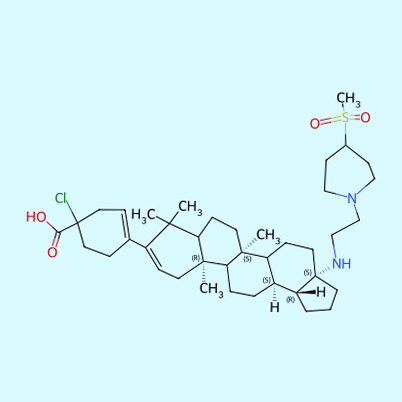 CC1(C)C(C2=CCC(Cl)(C(=O)O)CC2)=CC[C@@]2(C)C1CC[C@@]1(C)C3CC[C@@]4(NCCN5CCC(S(C)(=O)=O)CC5)CCC[C@@H]4[C@H]3CCC12